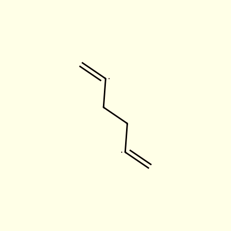 C=[C]CC[C]=C